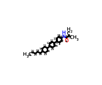 C=C(C)C(=O)Nc1ccc(-c2ccc(C3CCC(CCCCC)CC3)cc2)cc1